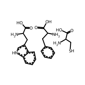 NC(CS)C(=O)O.NC(Cc1c[nH]c2ccccc12)C(=O)O.NC(Cc1ccccc1)C(=O)O